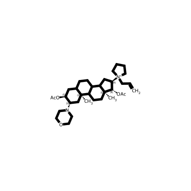 C=CC[N+]1([C@@H]2CC3C4CCC5C[C@H](OC(C)=O)[C@@H](N6CCOCC6)C[C@]5(C)C4CC[C@]3(C)[C@H]2OC(C)=O)CCCC1